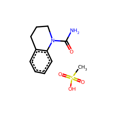 CS(=O)(=O)O.NC(=O)N1CCCc2ccccc21